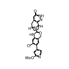 COc1cc(-c2cc(F)c(NC(=O)N3[C@H]4CC[C@@H]3c3n[nH]c(=O)cc3C4)cc2Cl)ccn1